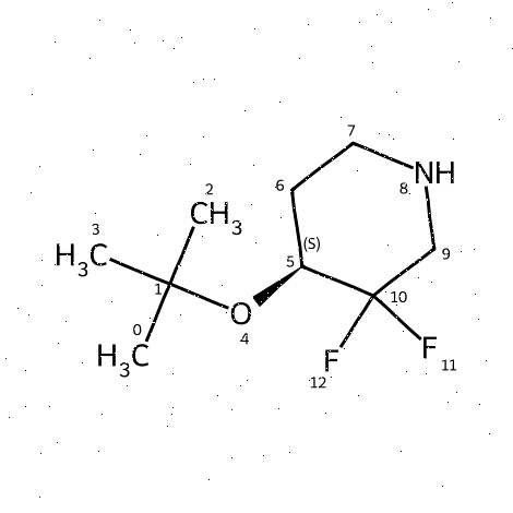 CC(C)(C)O[C@H]1CCNCC1(F)F